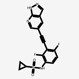 O=S(=O)(Nc1ccc(F)c(C#Cc2cnc3[nH]ncc3c2)c1F)C1CC1